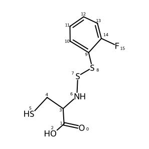 O=C(O)C(CS)NSSc1ccccc1F